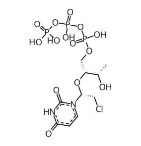 C[C@H](O)[C@@H](COP(=O)(O)OP(=O)(O)OP(=O)(O)O)O[C@H](CCl)n1ccc(=O)[nH]c1=O